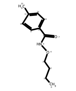 CCCCONC(=O)c1ccc(C)cc1